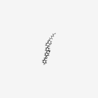 CCCCCCC1CCC2CC(c3ccc(-c4ccc(OCc5ccccc5)cc4)c(F)c3)CCC2C1